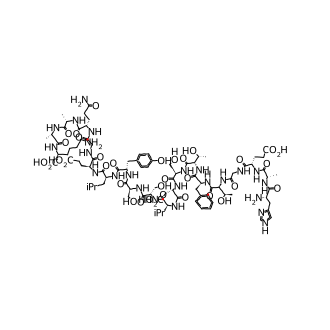 CC(C)C[C@H](NC(=O)[C@H](Cc1ccc(O)cc1)NC(=O)[C@H](CO)NC(=O)[C@H](CO)NC(=O)[C@@H](NC(=O)[C@H](CC(=O)O)NC(=O)[C@@H](CO)NC(=O)[C@@H](NC(=O)[C@H](Cc1ccccc1)NC(=O)[C@@H](NC(=O)CNC(=O)[C@H](CCC(=O)O)NC(=O)[C@H](C)NC(=O)[C@@H](N)Cc1c[nH]cn1)[C@@H](C)O)[C@@H](C)O)C(C)C)C(=O)N[C@@H](CCC(=O)O)C(=O)NCC(=O)N[C@@H](CCC(N)=O)C(=O)N[C@@H](C)C(=O)N[C@@H](C)C(=O)N[C@@H](CCCCN)C(=O)O